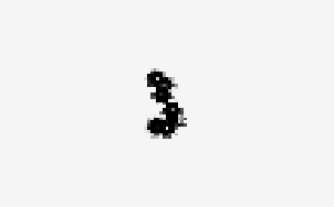 Cn1c2ccc(-c3ccc4c(c3)[Si](C)(C)c3ccccc3-4)cc2c2c3ccccc3ccc21